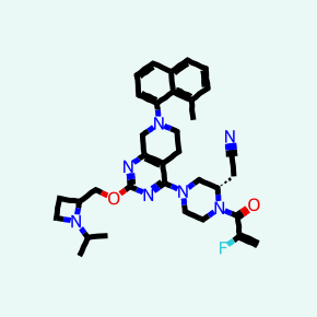 C=C(F)C(=O)N1CCN(c2nc(OCC3CCN3C(C)C)nc3c2CCN(c2cccc4cccc(C)c24)C3)C[C@@H]1CC#N